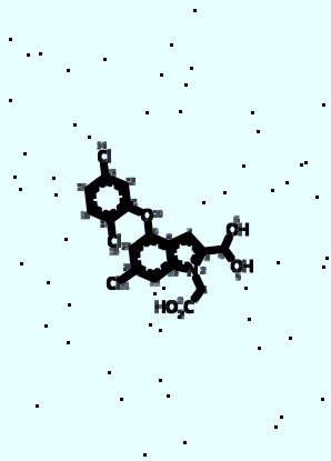 O=C(O)Cn1c(C(O)O)cc2c(Oc3cc(Cl)ccc3Cl)cc(Cl)cc21